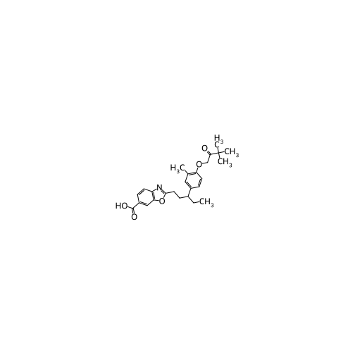 CCC(CCc1nc2ccc(C(=O)O)cc2o1)c1ccc(OCC(=O)C(C)(C)C)c(C)c1